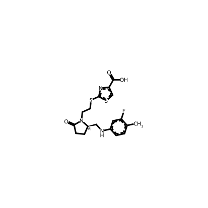 Cc1ccc(NC[C@H]2CCC(=O)N2CCSc2nc(C(=O)O)cs2)cc1F